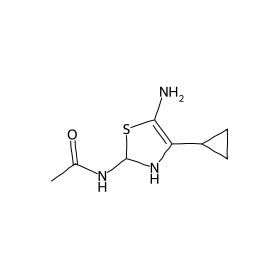 CC(=O)NC1NC(C2CC2)=C(N)S1